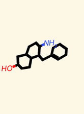 NC1CCC2CC(O)CCC2C1CC1=CCCCC1